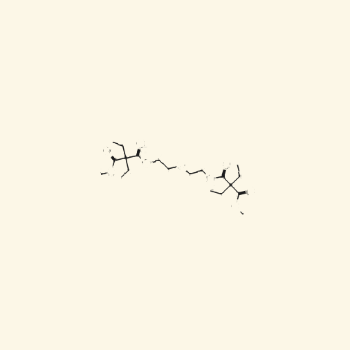 CCC(CC)(C(=O)OC)C(=O)OCCOCCOC(=O)C(CC)(CC)C(=O)OC